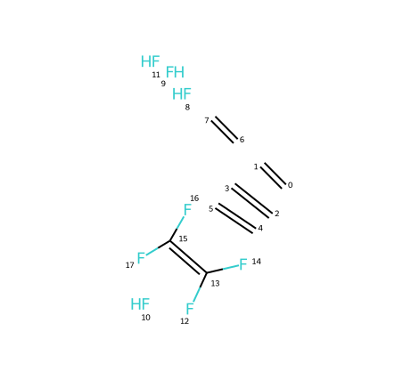 C=C.C=C.C=C.C=C.F.F.F.F.FC(F)=C(F)F